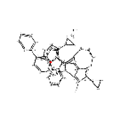 [Cl-].[Cl-].[SiH2]=c1c(C2C(C3CC3)=Cc3c(-c4ccccc4)cccc32)c2c(-n3c4ccccc4c4ccccc43)c3c1=[C]([Zr+2])C(C1CC1)=C3CCCC2